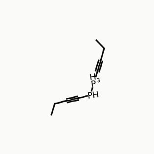 CCC#CP[PH3]C#CCC